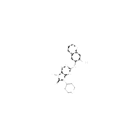 Cc1cc2ncccc2cc1Nc1ncc2c(n1)n(C1CCOCC1)c(=O)n2C